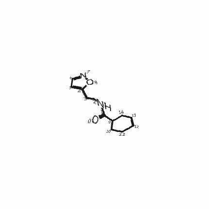 O=C(NCc1ccno1)C1CCCCC1